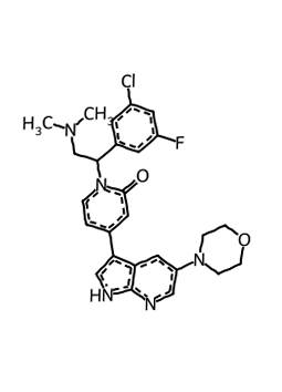 CN(C)CC(c1cc(F)cc(Cl)c1)n1ccc(-c2c[nH]c3ncc(N4CCOCC4)cc23)cc1=O